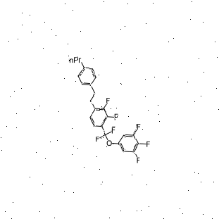 CCCc1ccc(CCc2ccc(C(F)(F)Oc3cc(F)c(F)c(F)c3)c(F)c2F)cc1